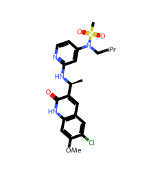 COc1cc2[nH]c(=O)c([C@H](C)Nc3cc(N(CC(C)C)S(C)(=O)=O)ccn3)cc2cc1Cl